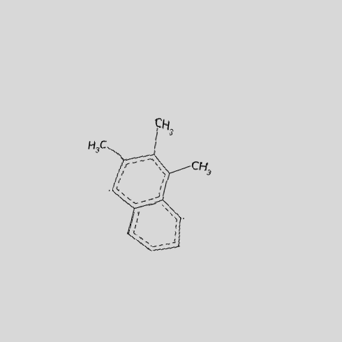 Cc1[c]c2ccc[c]c2c(C)c1C